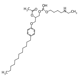 CCCCCCCCCCCCc1ccc(OCC(COP(O)OCCCCNCC)OC(C)=O)cc1